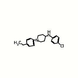 CCc1ccc(N2CCC(Nc3ccc(Cl)cc3)CC2)cc1